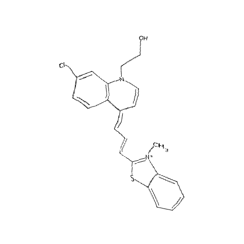 C[n+]1c(/C=C/C=C2\C=CN(CCO)c3cc(Cl)ccc32)sc2ccccc21